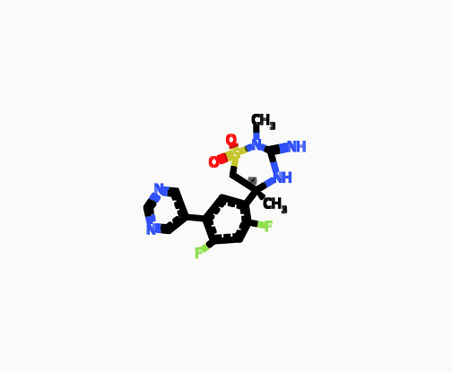 CN1C(=N)N[C@](C)(c2cc(-c3cncnc3)c(F)cc2F)CS1(=O)=O